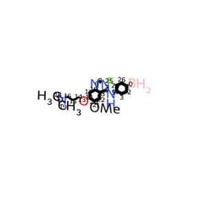 Bc1ccc(Nc2ncnc3cc(OCCCN(C)C)c(OC)cc23)c(F)c1